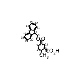 CC1CCN(C(=O)OCC2c3ccccc3-c3ccccc32)CC1C(=O)O